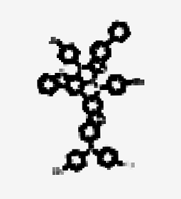 CC(C)(C)c1ccc(N2B3c4oc5cc(-c6ccccc6)ccc5c4N(c4ccc(C(C)(C)C)cc4)c4c3c(cc3c4oc4ccccc43)-c3cc4c(cc32)sc2cc(N(c3ccc(C(C)(C)C)cc3)c3ccc(C(C)(C)C)cc3)ccc24)cc1